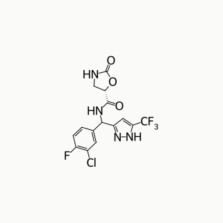 O=C1NC[C@@H](C(=O)NC(c2ccc(F)c(Cl)c2)c2cc(C(F)(F)F)[nH]n2)O1